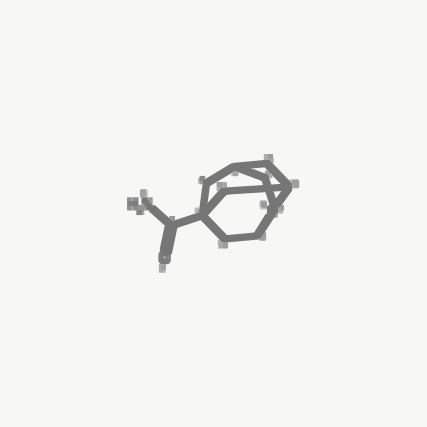 NC(=O)C12CC3CCC(CC(C3)C1)C2